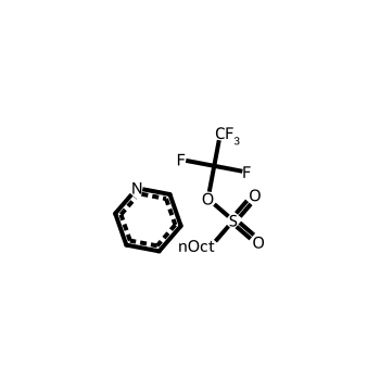 CCCCCCCCS(=O)(=O)OC(F)(F)C(F)(F)F.c1ccncc1